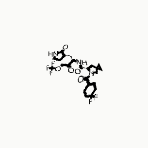 O=C1NCC[C@H]1C[C@H](NC(=O)[C@@H]1CC2(CC2)CN1C(=O)C1CCC(F)(F)CC1)C(=O)COC(F)(F)F